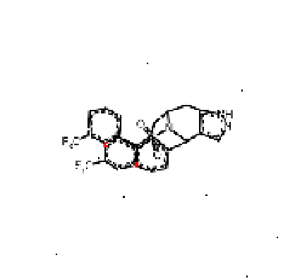 O=S(=O)(c1ccc(C(F)(F)F)cc1)N1C2Cc3[nH]ncc3C1c1cccc(-c3cccc(C(F)(F)F)c3)c1C2